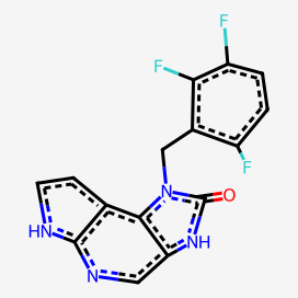 O=c1[nH]c2cnc3[nH]ccc3c2n1Cc1c(F)ccc(F)c1F